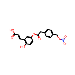 O=C(O)C=Cc1cc(OC(=O)Cc2ccc(CO[N+](=O)[O-])cc2)ccc1O